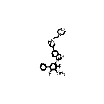 Nc1c(F)c(-c2ccccc2)cc(-n2cnc3cc(-c4cnn(CCN5CCOCC5)c4)ccc32)c1F